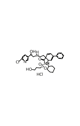 Cl.O=C(NS(=O)(=O)CCCO)C1(CCNC[C@H](O)c2ccc(Cl)nc2)C=CC(c2ccccc2)=CC1OC1CCCCC1